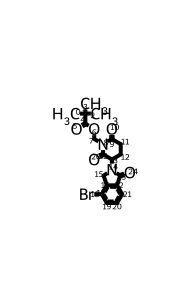 CC(C)(C)C(=O)OCN1C(=O)CCC(N2Cc3c(Br)cccc3C2=O)C1=O